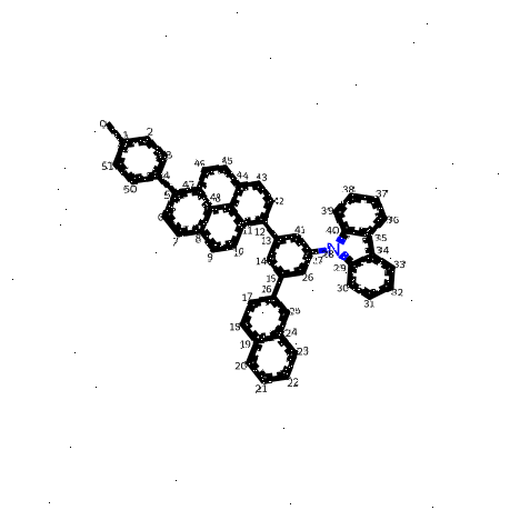 Cc1ccc(-c2ccc3ccc4c(-c5cc(-c6ccc7ccccc7c6)cc(-n6c7ccccc7c7ccccc76)c5)ccc5ccc2c3c54)cc1